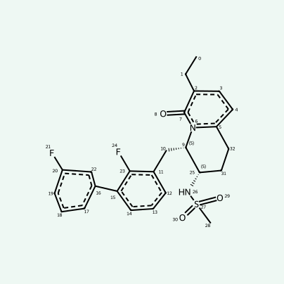 CCc1ccc2n(c1=O)[C@@H](Cc1cccc(-c3cccc(F)c3)c1F)[C@@H](NS(C)(=O)=O)CC2